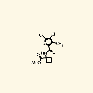 COC(=O)C1(NC(=O)c2sc(Cl)c(Cl)c2C)CCC1